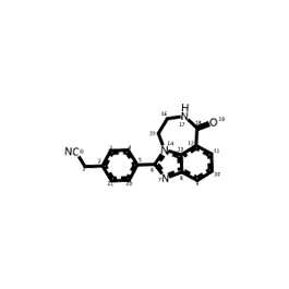 N#CCc1ccc(-c2nc3cccc4c3n2CCNC4=O)cc1